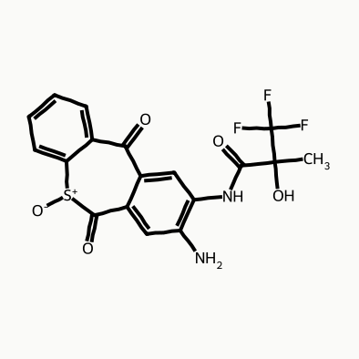 CC(O)(C(=O)Nc1cc2c(=O)c3ccccc3[s+]([O-])c(=O)c2cc1N)C(F)(F)F